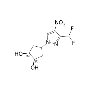 O=[N+]([O-])c1cn(C2C[C@@H](O)[C@@H](O)C2)nc1C(F)F